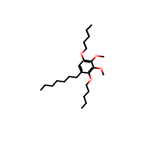 CCCCCCCc1cc(OCCCCC)c(OC)c(OC)c1OCCCCC